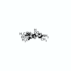 CCC(C)(C[C@H]1O[C@@H](n2cc(C)c(N)nc2=O)[C@H](O)[C@@H]1O)OP(=O)(O)C(C)O